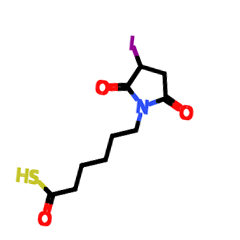 O=C(S)CCCCCN1C(=O)CC(I)C1=O